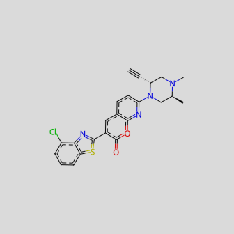 C#C[C@@H]1CN(C)[C@@H](C)CN1c1ccc2cc(-c3nc4c(Cl)cccc4s3)c(=O)oc2n1